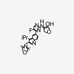 CC(C)c1c(CN2[C@H](C)COC[C@H]2C)cnc2ccc(-c3nc(N[C@@H]4CCOC[C@H]4O)ncc3F)cc12